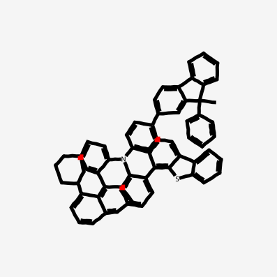 CC1(c2ccccc2)c2ccccc2-c2ccc(-c3ccc(N(c4ccccc4-c4cccc5c4sc4ccccc45)c4ccccc4-c4cccc5cccc(C6CCCCC6)c45)cc3)cc21